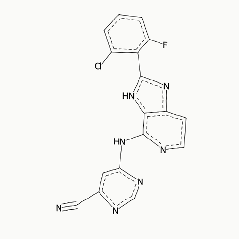 N#Cc1cc(Nc2nccc3nc(-c4c(F)cccc4Cl)[nH]c23)ncn1